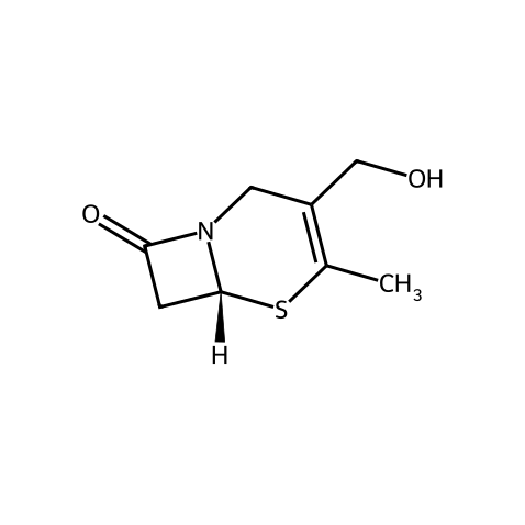 CC1=C(CO)CN2C(=O)C[C@H]2S1